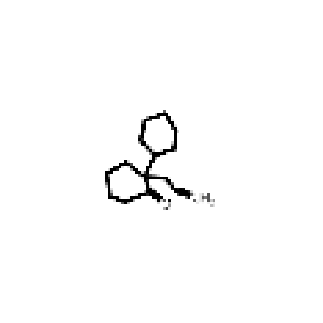 C=CCC1(C2CCCCC2)CCCCC1=O